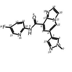 Cn1cc(-c2cc(C(=O)Nc3ccc(F)cn3)c3nccn3c2)cn1